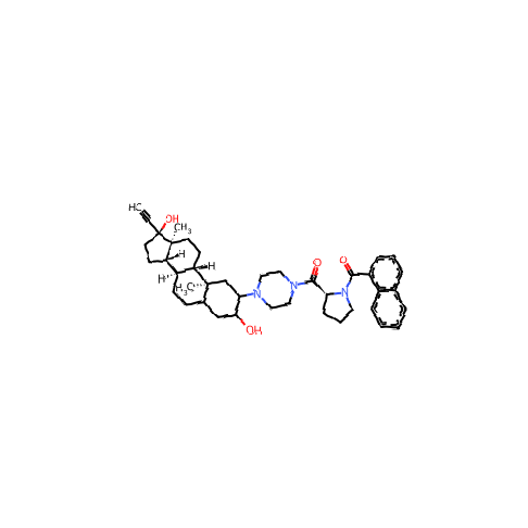 C#C[C@@]1(O)CC[C@H]2[C@@H]3CCC4CC(O)C(N5CCN(C(=O)[C@@H]6CCCN6C(=O)c6cccc7ccccc67)CC5)C[C@]4(C)[C@H]3CC[C@@]21C